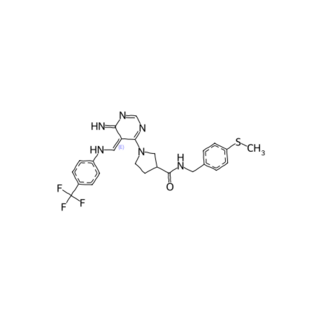 CSc1ccc(CNC(=O)C2CCN(C3=NC=NC(=N)/C3=C\Nc3ccc(C(F)(F)F)cc3)C2)cc1